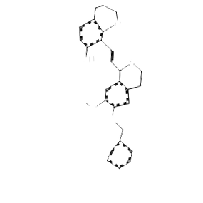 COc1cc2c(cc1OCc1ccccc1)CCNC2C=Cc1c(C)ccc2c1OCCC2